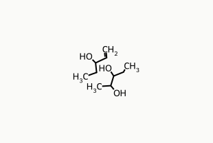 C=CC(O)CC.CCC(O)C(C)O